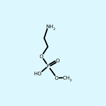 COP(=O)(O)OCCN